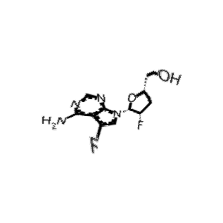 Nc1ncnc2c1c(F)cn2[C@@H]1O[C@H](CO)C[C@@H]1F